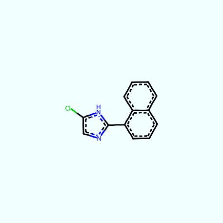 Clc1cnc(-c2cccc3ccccc23)[nH]1